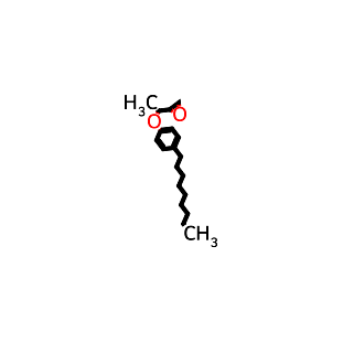 CCCCCCCCCc1ccc(OC(C)C2CO2)cc1